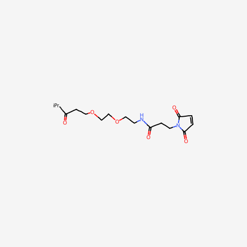 CC(C)C(=O)CCOCCOCCNC(=O)CCN1C(=O)C=CC1=O